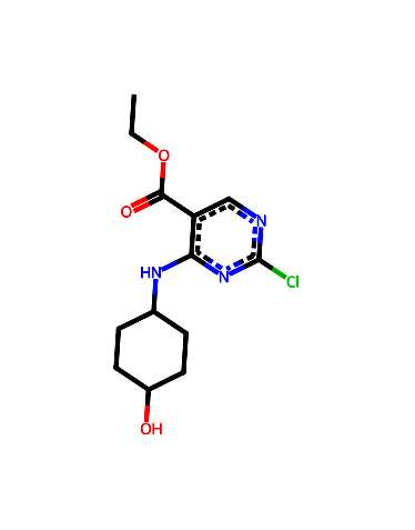 CCOC(=O)c1cnc(Cl)nc1NC1CCC(O)CC1